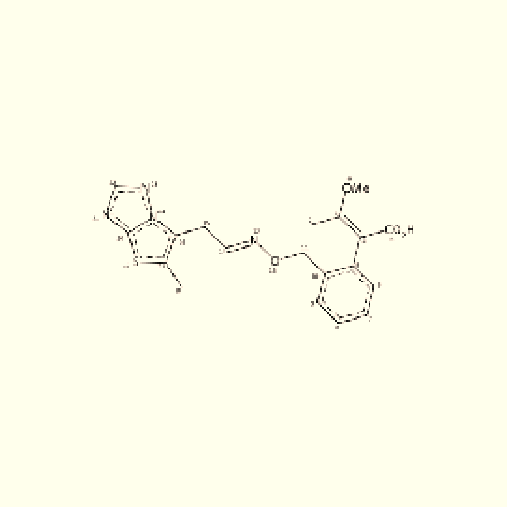 COC(C)=C(C(=O)O)c1ccccc1CON=CCc1c(C)sc2ncnn12